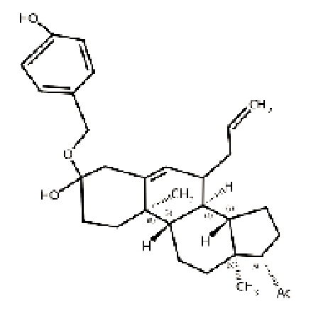 C=CCC1C=C2CC(O)(OCc3ccc(O)cc3)CC[C@]2(C)[C@H]2CC[C@]3(C)[C@@H](C(C)=O)CC[C@H]3[C@H]12